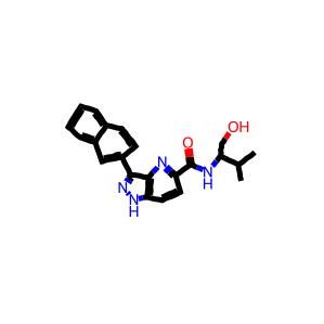 CC(C)C(CO)NC(=O)c1ccc2[nH]nc(-c3ccc4ccccc4c3)c2n1